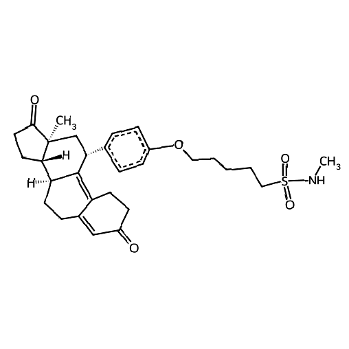 CNS(=O)(=O)CCCCCOc1ccc([C@H]2C[C@]3(C)C(=O)CC[C@H]3[C@@H]3CCC4=CC(=O)CCC4=C32)cc1